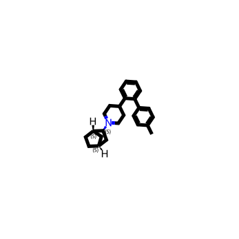 Cc1ccc(-c2ccccc2C2CCN([C@H]3C[C@H]4CC[C@H]3C4)CC2)cc1